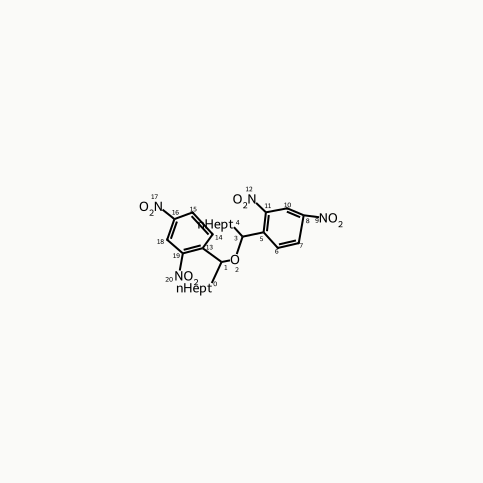 CCCCCCCC(OC(CCCCCCC)c1ccc([N+](=O)[O-])cc1[N+](=O)[O-])c1ccc([N+](=O)[O-])cc1[N+](=O)[O-]